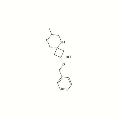 CC1CN[C@]2(CO1)C[C@@H](OCc1ccccc1)C2.Cl